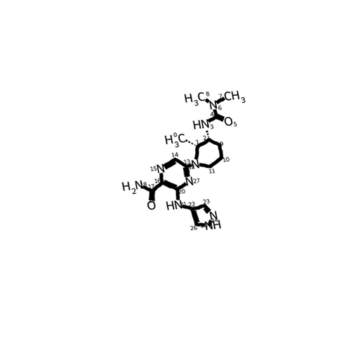 C[C@@H]1[C@H](NC(=O)N(C)C)CCCN1c1cnc(C(N)=O)c(Nc2cn[nH]c2)n1